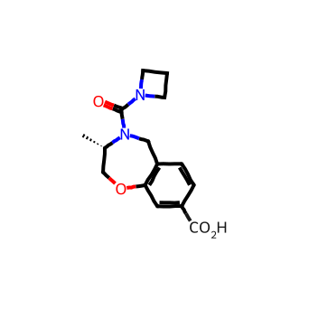 C[C@H]1COc2cc(C(=O)O)ccc2CN1C(=O)N1CCC1